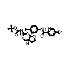 CC(C)(C)OC(=O)NC1=N[C@@]2(c3cc(NC(=O)c4ccc(Br)cn4)ccc3F)OCC[C@H]2CS1